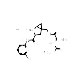 COC(=O)N[C@H](C(=O)NCC12CC(C(=O)Nc3cccc(Br)n3)N(C(=O)O)C1C2)C(C)C